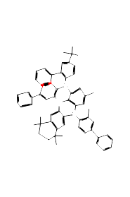 Cc1cc2c3c(c1)N(c1ccc(C(C)(C)C)cc1-c1ccccc1)c1ccc(-c4ccccc4)cc1B3c1cc3c(cc1N2c1ccc(-c2ccccc2)cc1C)C(C)(C)CCC3(C)C